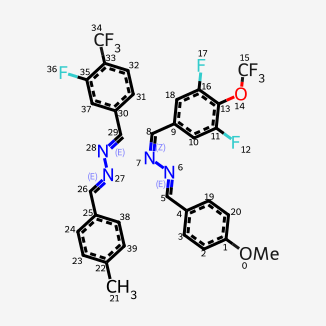 COc1ccc(/C=N/N=C\c2cc(F)c(OC(F)(F)F)c(F)c2)cc1.Cc1ccc(/C=N/N=C/c2ccc(C(F)(F)F)c(F)c2)cc1